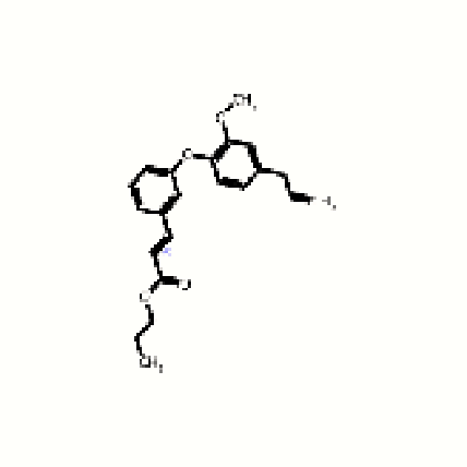 C=CCc1ccc(Oc2cccc(/C=C/C(=O)OCCC)c2)c(OC)c1